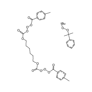 CC(C)(C)OOC(C)(C)c1ccccc1.Cc1ccc(C(=O)OOOC(=O)OCCCCCCOC(=O)OOOC(=O)c2ccc(C)cc2)cc1